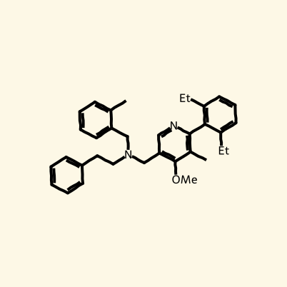 CCc1cccc(CC)c1-c1ncc(CN(CCc2ccccc2)Cc2ccccc2C)c(OC)c1C